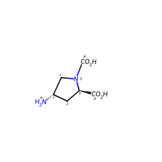 N[C@H]1C[C@H](C(=O)O)N(C(=O)O)C1